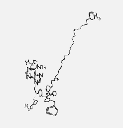 CCCCCCCCCCCCCCCCCCOCCOP(=O)(CO[C@H](COC)Cn1cnc2c(NC)ncnc21)OCc1ccccc1